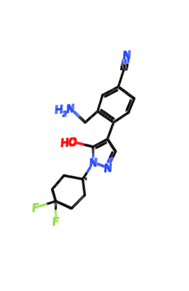 N#Cc1ccc(-c2cnn([C]3CCC(F)(F)CC3)c2O)c(CN)c1